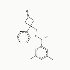 C=C1CC(CO[C@H](C)c2cc(C)cc(C)c2)(c2ccccc2)C1